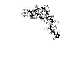 CCCCCCCCC(CCCCCC)C(=O)NCC(C)(C)COCC(C)(C)CNC(=O)CC[C@H](NC(=O)CC(C)(C)OCC(C)(C)CNC(=O)CCN1C(=O)C=CC1=O)C(=O)NCC(C)(C)COC(C)(C)CNC(=O)C(CCCCCC)CCCCCCCC